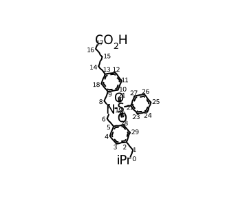 CC(C)Cc1ccc(CN(Cc2cccc(CCCC(=O)O)c2)S(=O)(=O)c2ccccc2)cc1